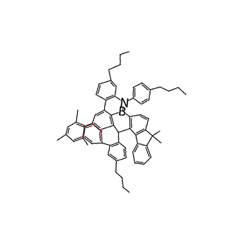 CCCCc1ccc(N2B3c4ccc5c(c4C(c4ccc(CCCC)cc4-c4ccccc4)c4cc(-c6c(C)cc(C)cc6C)cc(c43)-c3ccc(CCCC)cc32)-c2ccccc2C5(C)C)cc1